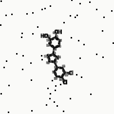 Oc1ccc(-c2nc(-c3ccc(Cl)c(Cl)c3)cs2)cc1O